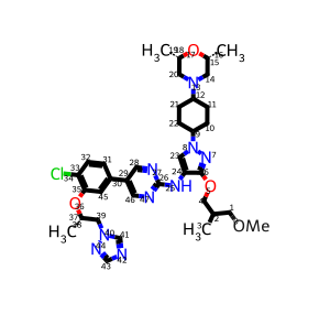 COCC(C)COc1nn(C2CCC(N3C[C@@H](C)O[C@@H](C)C3)CC2)cc1Nc1ncc(-c2ccc(Cl)c(O[C@@H](C)Cn3cncn3)c2)cn1